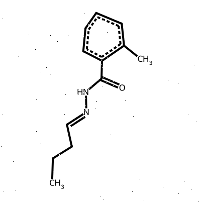 CCCC=NNC(=O)c1ccccc1C